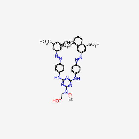 CCON(CCO)c1nc(Nc2ccc(/N=N/c3cc(C=O)cc(C(=O)O)c3)cc2)nc(Nc2ccc(/N=N/c3cc(S(=O)(=O)O)c4cccc(S(=O)(=O)O)c4c3)cc2)n1